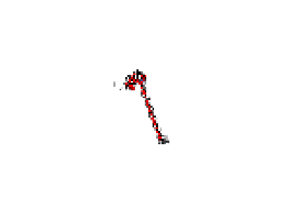 CCCN(CCCN/C(=N\c1cccc(C#N)c1)NCCOCCOCCOCCOCCOCCOCCOCCOCCOCCOCCC(O)O)C(=O)C1=Cc2sccc2N=C(N)C1